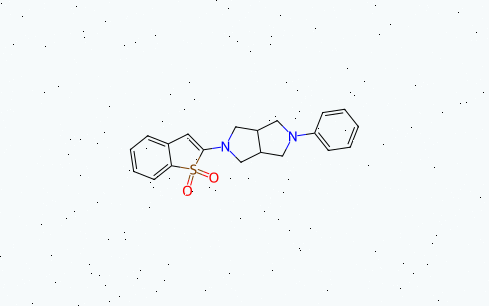 O=S1(=O)C(N2CC3CN(c4ccccc4)CC3C2)=Cc2ccccc21